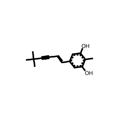 Cc1c(O)cc(/C=C/C#CC(C)(C)C)cc1O